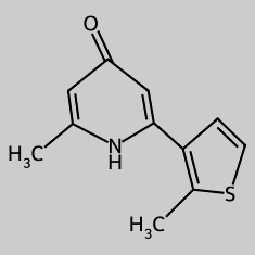 Cc1cc(=O)cc(-c2ccsc2C)[nH]1